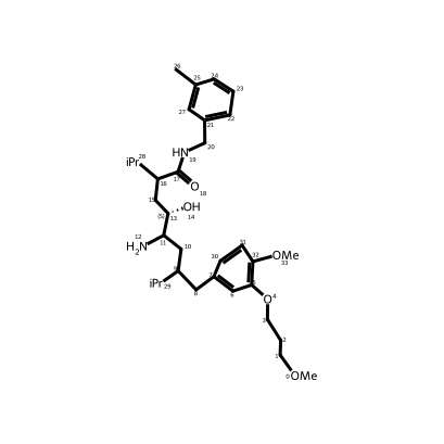 COCCCOc1cc(CC(CC(N)[C@@H](O)CC(C(=O)NCc2cccc(C)c2)C(C)C)C(C)C)ccc1OC